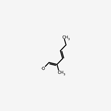 CCC=CC(C)=C[O]